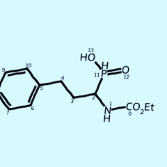 CCOC(=O)NC(CCc1ccccc1)[PH](=O)O